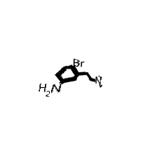 CN(C)CCc1cc(N)ccc1Br